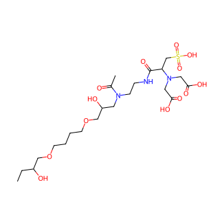 CCC(O)COCCCCOCC(O)CN(CCNC(=O)C(CS(=O)(=O)O)N(CC(=O)O)CC(=O)O)C(C)=O